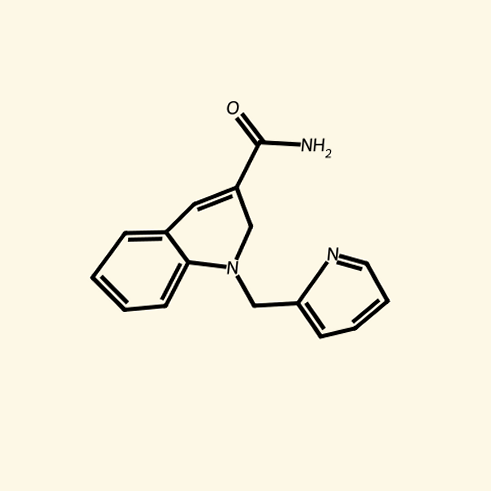 NC(=O)C1=Cc2ccccc2N(Cc2ccccn2)C1